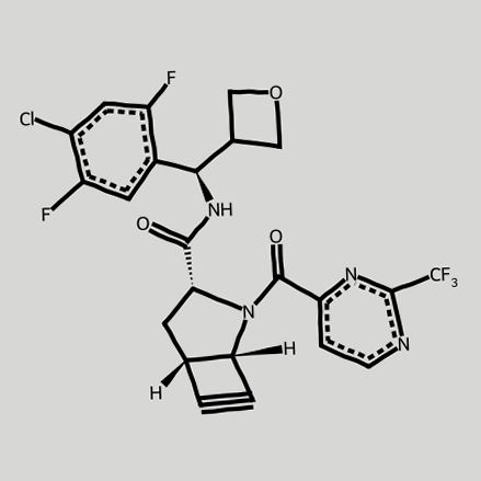 O=C(N[C@@H](c1cc(F)c(Cl)cc1F)C1COC1)[C@H]1C[C@H]2C#C[C@H]2N1C(=O)c1ccnc(C(F)(F)F)n1